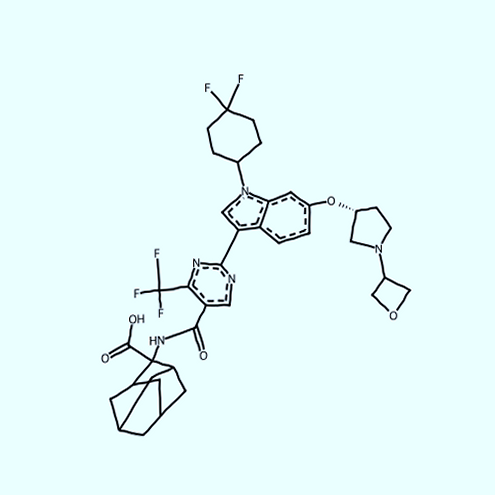 O=C(NC1(C(=O)O)C2CC3CC(C2)CC1C3)c1cnc(-c2cn(C3CCC(F)(F)CC3)c3cc(O[C@@H]4CCN(C5COC5)C4)ccc23)nc1C(F)(F)F